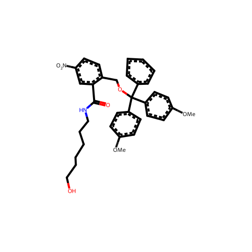 COc1ccc(C(OCc2ccc([N+](=O)[O-])cc2C(=O)NCCCCCCO)(c2ccccc2)c2ccc(OC)cc2)cc1